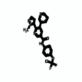 Cn1nccc1-c1ncc(C(=O)Nc2ccc(OC(F)(F)Cl)cc2)cc1-c1cccnc1